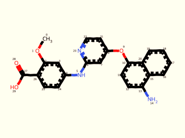 COc1cc(Nc2cc(Oc3ccc(N)c4ccccc34)ccn2)ccc1C(=O)O